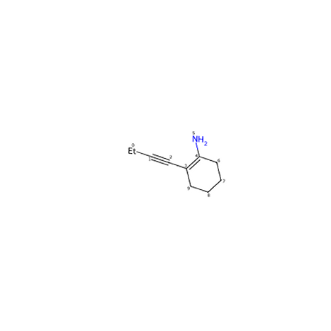 CCC#CC1=C(N)CCCC1